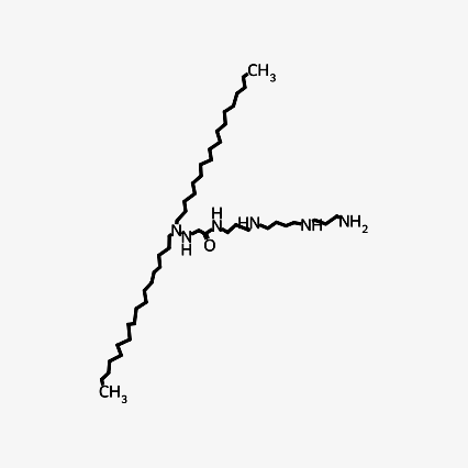 CCCCCCCCCCCCCCCCCCN(CCCCCCCCCCCCCCCCCC)NCC(=O)NCCCNCCCCNCCCN